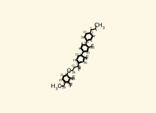 CCCc1ccc(-c2ccc(-c3ccc(C(F)CCOc4ccc(CC)c(F)c4F)cc3F)cc2F)cc1